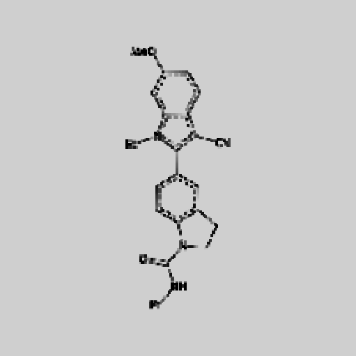 CCn1c(-c2ccc3c(c2)CCN3C(=O)NC(C)C)c(C#N)c2ccc(OC)cc21